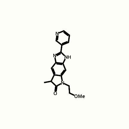 COCCN1C(=O)C(C)c2cc3nc(-c4cccnc4)[nH]c3cc21